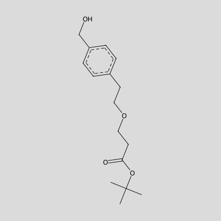 CC(C)(C)OC(=O)CCOCCc1ccc(CO)cc1